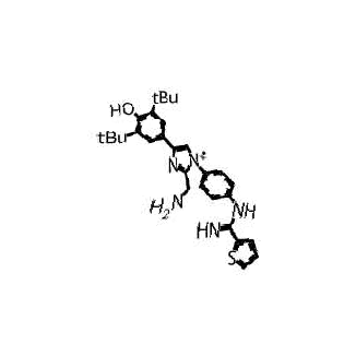 CC(C)(C)c1cc(C2=C[N+](C)(c3ccc(NC(=N)c4cccs4)cc3)C(CN)=N2)cc(C(C)(C)C)c1O